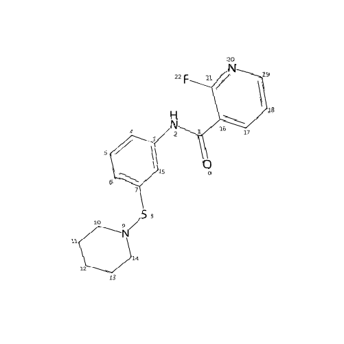 O=C(Nc1cccc(SN2CCCCC2)c1)c1cccnc1F